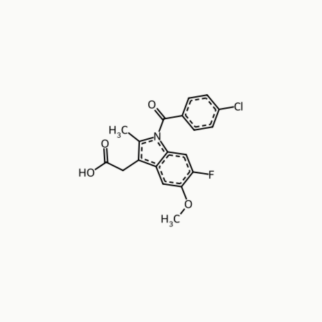 COc1cc2c(CC(=O)O)c(C)n(C(=O)c3ccc(Cl)cc3)c2cc1F